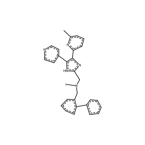 Cc1cccc(-c2nc(CN(I)Cc3ccccc3-c3ccccc3)[nH]c2-c2ccncc2)n1